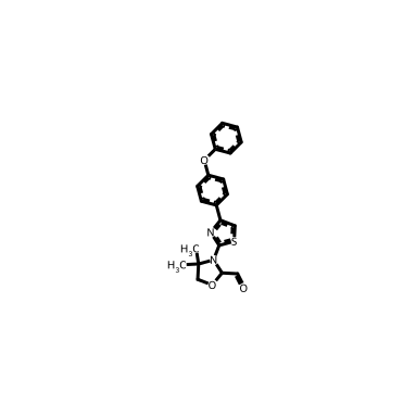 CC1(C)COC(C=O)N1c1nc(-c2ccc(Oc3ccccc3)cc2)cs1